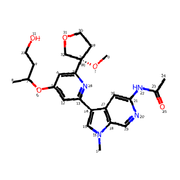 CO[C@@]1(c2cc(OC(C)CCO)cc(-c3cn(C)c4cnc(NC(C)=O)cc34)n2)CCOC1